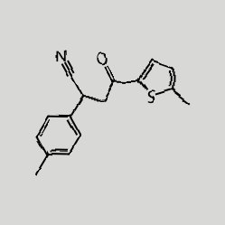 Cc1ccc(C(C#N)CC(=O)c2ccc(C)s2)cc1